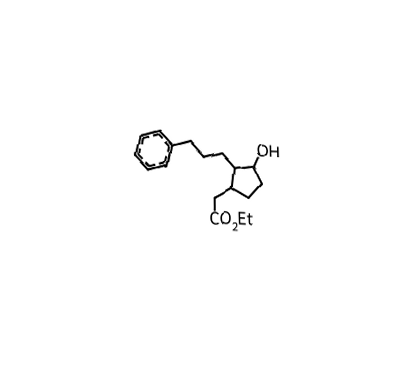 CCOC(=O)CC1CCC(O)C1CCCc1ccccc1